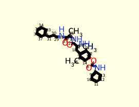 Cc1cc(OC(=O)Nc2ccccc2)cc(C)c1C[C@H](N)C(=O)N[C@H](C)C(=O)NCCCc1ccccc1